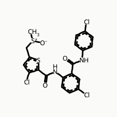 C[S+]([O-])Cc1cc(Cl)c(C(=O)Nc2ccc(Cl)cc2C(=O)Nc2ccc(Cl)cc2)s1